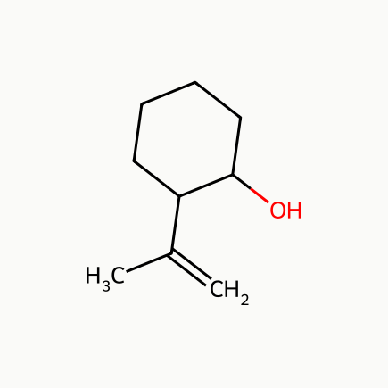 C=C(C)C1CCCCC1O